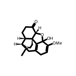 COC1=CCC2=C3C1(O)O[C@H]1C(=O)CC[C@H]4[C@@H](C2)N(C)CC[C@]314